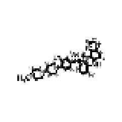 CCc1cc(Nc2ncc(Br)c(Nc3ccc4nccnc4c3NSC)n2)ccc1N1CCC(N2CCN(C)CC2)CC1